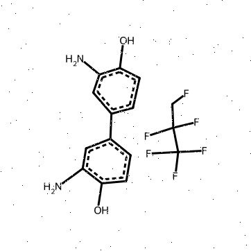 FCC(F)(F)C(F)(F)F.Nc1cc(-c2ccc(O)c(N)c2)ccc1O